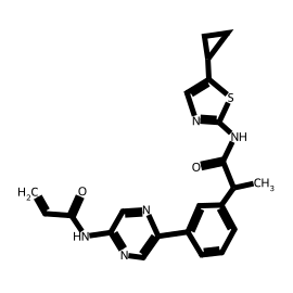 C=CC(=O)Nc1cnc(-c2cccc(C(C)C(=O)Nc3ncc(C4CC4)s3)c2)cn1